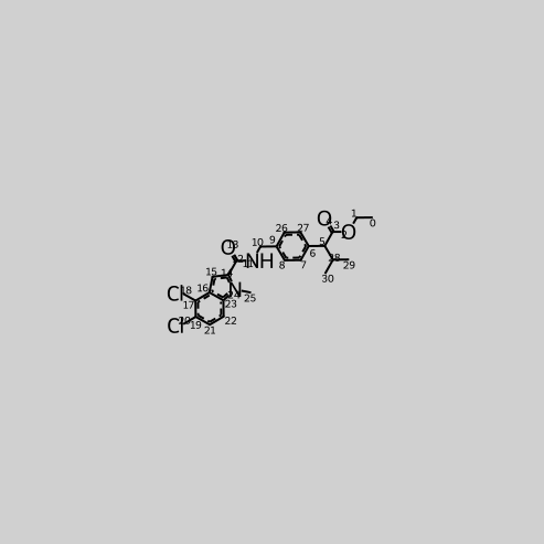 CCOC(=O)C(c1ccc(CNC(=O)c2cc3c(Cl)c(Cl)ccc3n2C)cc1)C(C)C